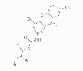 Cc1cc(NC(=O)NC(=O)C(Br)CBr)cc(Cl)c1Oc1ccc(C#N)cc1